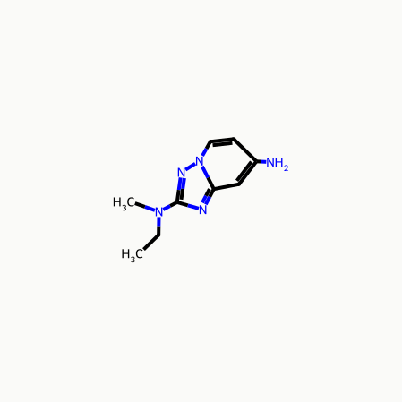 CCN(C)c1nc2cc(N)ccn2n1